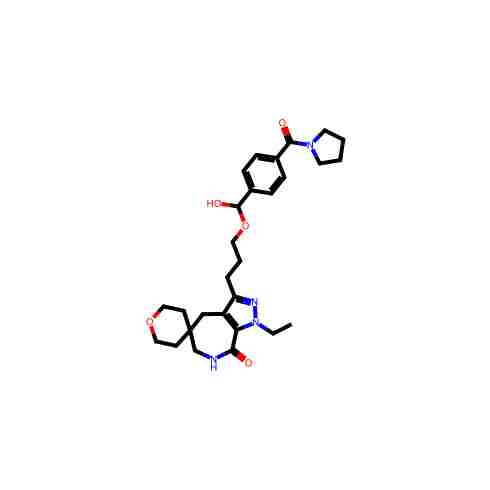 CCn1nc(CCCOC(O)c2ccc(C(=O)N3CCCC3)cc2)c2c1C(=O)NCC1(CCOCC1)C2